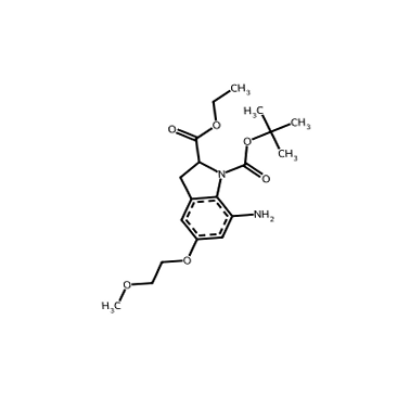 CCOC(=O)C1Cc2cc(OCCOC)cc(N)c2N1C(=O)OC(C)(C)C